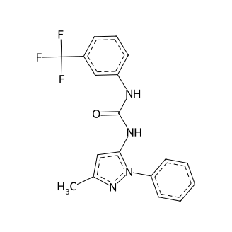 Cc1cc(NC(=O)Nc2cccc(C(F)(F)F)c2)n(-c2ccccc2)n1